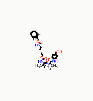 CC(C)[C@H](NC(=O)OCCOCCNC(=O)OC[C@@H]1[C@@H]2CC/C=C\CC[C@@H]21)C(=O)N[C@@H](C)C(=O)Nc1ccc(CO)cc1